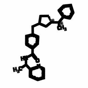 CC(NC(=O)c1ccc(CC2CC[C@H]([C@H](C)c3ccccc3)C2)cc1)c1ccccn1